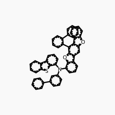 c1ccc(-c2cccc(N(c3cccc4c3oc3c(-c5ccccc5-c5ccccc5)c5c(cc34)oc3ccccc35)c3cccc4c3sc3ccccc34)c2)cc1